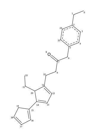 CCc1ccc(CC(=O)CCC2=CC=C(C3=CC=CC3)C2CC)cc1